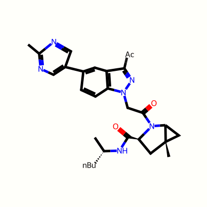 CCCC[C@H](C)NC(=O)[C@@H]1C[C@@]2(C)CC2N1C(=O)Cn1nc(C(C)=O)c2cc(-c3cnc(C)nc3)ccc21